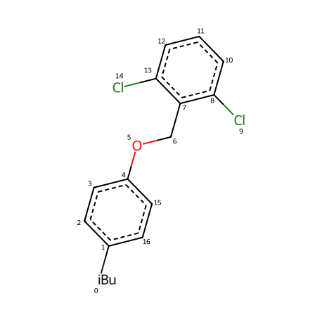 CCC(C)c1ccc(OCc2c(Cl)cccc2Cl)cc1